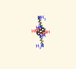 NCCCCCCNc1ccc(O)c2c1C(=O)c1c(O)ccc(NCCCCCCN)c1C2=O